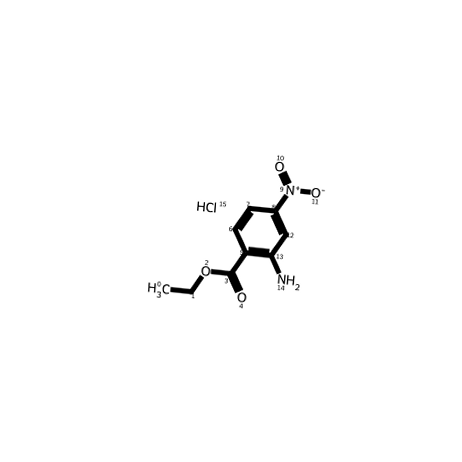 CCOC(=O)c1ccc([N+](=O)[O-])cc1N.Cl